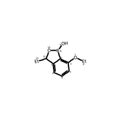 CCOc1cccc2c1B(O)OC2CC